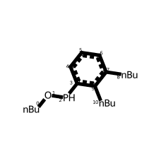 CCCCOPc1cccc(CCCC)c1CCCC